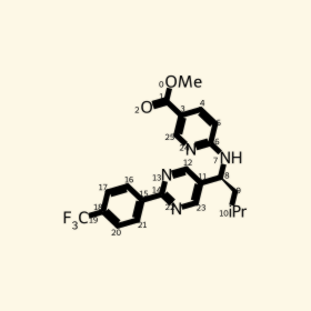 COC(=O)c1ccc(N[C@@H](CC(C)C)c2cnc(-c3ccc(C(F)(F)F)cc3)nc2)nc1